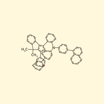 CC1(C)c2ccccc2-c2c(-c3ccccc3N(c3ccc(-c4ccccc4)cc3)c3ccc(-c4cccc5ccccc45)cc3)sc(-c3ccccc3)c21